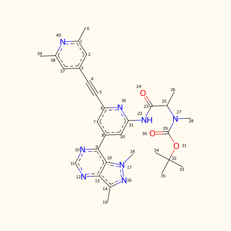 Cc1cc(C#Cc2cc(-c3ncnc4c(C)nn(C)c34)cc(NC(=O)C(C)N(C)C(=O)OC(C)(C)C)n2)cc(C)n1